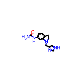 NC(=O)Nc1ccc2c(c1)N(Cc1c[nH]cn1)CC2